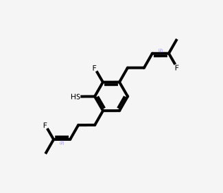 C/C(F)=C/CCc1ccc(CC/C=C(/C)F)c(S)c1F